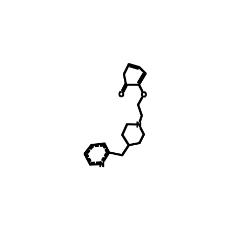 O=C1CC=CC=C1OCCN1CCC(Cc2ccccn2)CC1